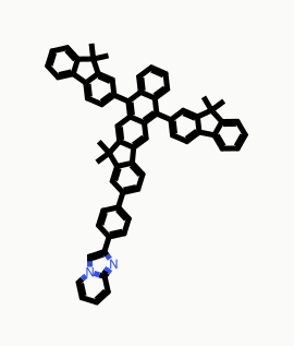 CC1(C)c2ccccc2-c2ccc(-c3c4ccccc4c(-c4ccc5c(c4)C(C)(C)c4ccccc4-5)c4cc5c(cc34)-c3ccc(-c4ccc(-c6cn7ccccc7n6)cc4)cc3C5(C)C)cc21